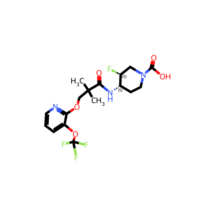 CC(C)(COc1ncccc1OC(F)(F)F)C(=O)N[C@H]1CCN(C(=O)O)C[C@@H]1F